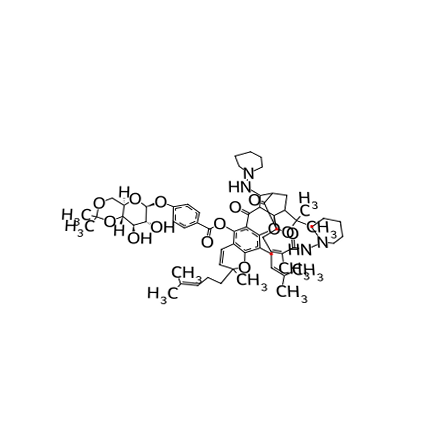 CC(C)=CCCC1(C)C=Cc2c(c(CC=C(C)C)c3c(c2OC(=O)c2ccc(O[C@@H]4O[C@@H]5COC(C)(C)O[C@H]5[C@H](O)[C@H]4O)cc2)C(=O)C2C(NN4CCCCC4)C4CC5C(C)(C)OC(C/C=C(/C)C(=O)NN6CCCCC6)(C4=O)C25O3)O1